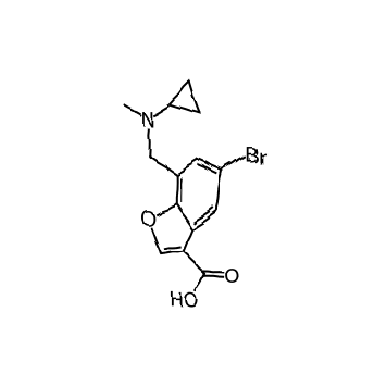 CN(Cc1cc(Br)cc2c(C(=O)O)coc12)C1CC1